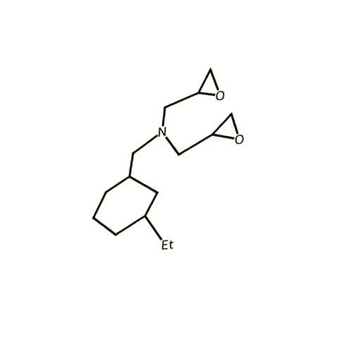 CCC1CCCC(CN(CC2CO2)CC2CO2)C1